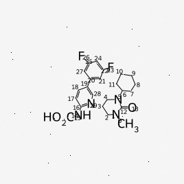 CN1CCCN(C2CCCCC2)C1=O.O=C(O)Nc1ccc(-c2cc(F)cc(F)c2)cn1